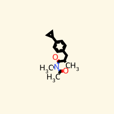 CC(=O)N(C)C(=O)C(C)Cc1ccc(C2CC2)cc1